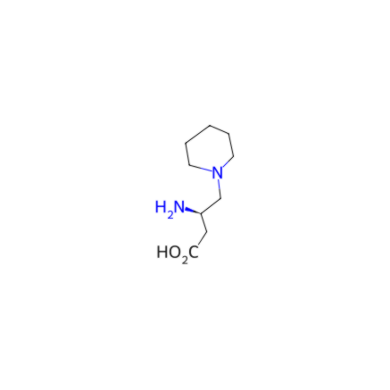 N[C@H](CC(=O)O)CN1CCCCC1